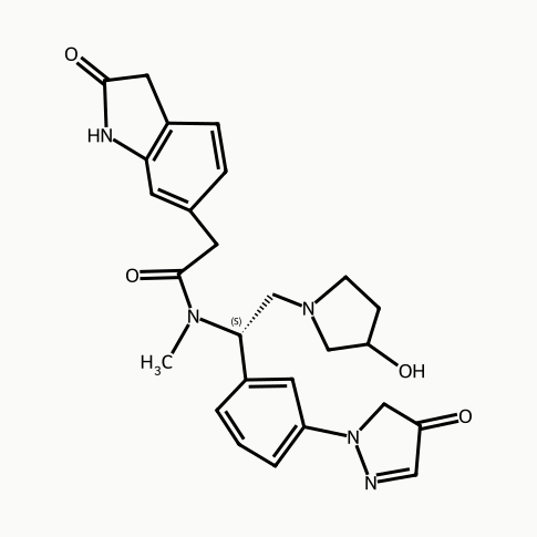 CN(C(=O)Cc1ccc2c(c1)NC(=O)C2)[C@H](CN1CCC(O)C1)c1cccc(N2CC(=O)C=N2)c1